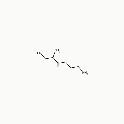 NCCCNC(N)CN